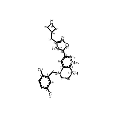 Clc1ccc(Cl)c(CN2CCNc3nnc(C4NC(CC5CNC5)=NO4)cc32)c1